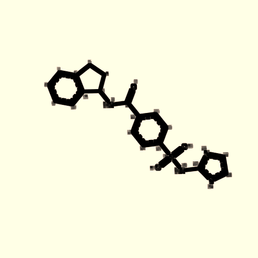 O=C(NC1CCc2ccccc21)c1ccc(S(=O)(=O)Nc2nccs2)cc1